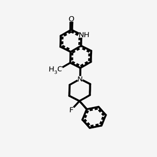 Cc1c(N2CCC(F)(c3ccccc3)CC2)ccc2[nH]c(=O)ccc12